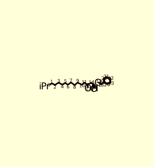 CC(C)CCCCCCCCCCCC(O)CC(=O)OCc1ccccc1